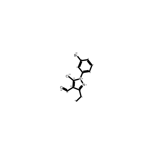 CCc1nn(-c2cccc(Br)c2)c(Cl)c1C=O